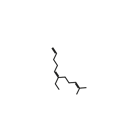 C=CCCC=C(CC)CCC=C(C)C